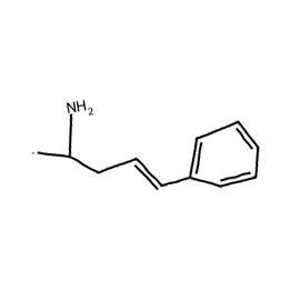 [CH2]C(N)CC=Cc1ccccc1